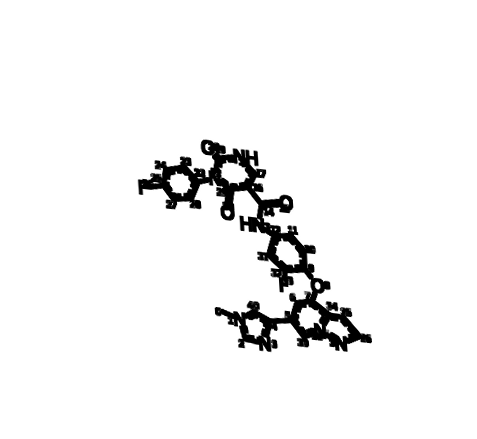 Cn1cnc(-c2cc(Oc3ccc(NC(=O)c4c[nH]c(=O)n(-c5ccc(F)cc5)c4=O)cc3F)c3ccnn3c2)c1